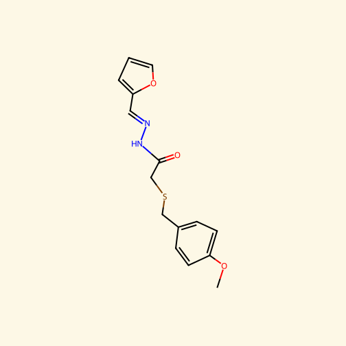 COc1ccc(CSCC(=O)N/N=C/c2ccco2)cc1